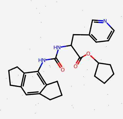 O=C(Nc1c2c(cc3c1CCC3)CCC2)NC(Cc1cccnc1)C(=O)OC1CCCC1